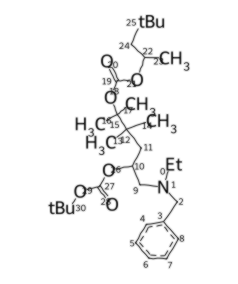 CCN(Cc1ccccc1)CC(CC(C)(C)C(C)(C)OC(=O)OC(C)CC(C)(C)C)OC(=O)OC(C)(C)C